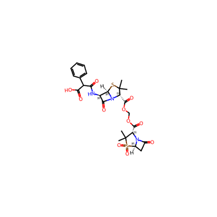 CC1(C)S[C@@H]2[C@H](NC(=O)C(C(=O)O)c3ccccc3)C(=O)N2[C@H]1C(=O)OCOC(=O)[C@@H]1N2C(=O)C[C@H]2S(=O)(=O)C1(C)C